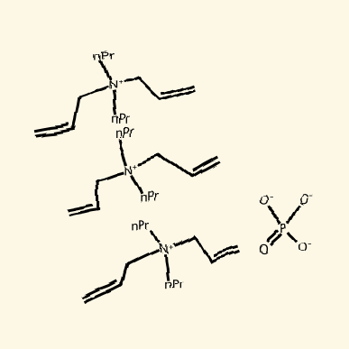 C=CC[N+](CC=C)(CCC)CCC.C=CC[N+](CC=C)(CCC)CCC.C=CC[N+](CC=C)(CCC)CCC.O=P([O-])([O-])[O-]